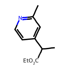 CCOC(=O)C(C)c1ccnc(C)c1